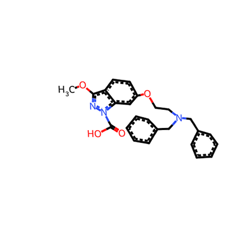 COc1nn(C(=O)O)c2cc(OCCN(Cc3ccccc3)Cc3ccccc3)ccc12